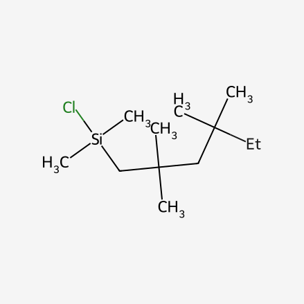 CCC(C)(C)CC(C)(C)C[Si](C)(C)Cl